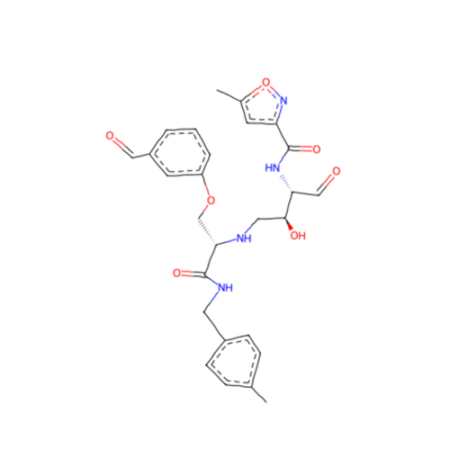 Cc1ccc(CNC(=O)[C@H](COc2cccc(C=O)c2)NC[C@H](O)[C@@H](C=O)NC(=O)c2cc(C)on2)cc1